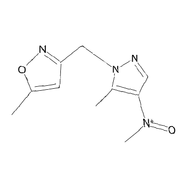 Cc1cc(Cn2ncc([N+](C)=O)c2C)no1